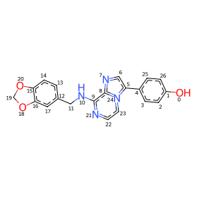 Oc1ccc(-c2cnc3c(NCc4ccc5c(c4)OCO5)nccn23)cc1